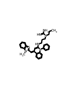 CCCN(CCCNC1=CC(=Cc2sc3ccccc3[n+]2C)c2ccccc2N1c1ccccc1)C(=N)N